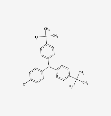 CC(C)(C)c1ccc([I+](c2ccc([O-])cc2)c2ccc(C(C)(C)C)cc2)cc1